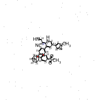 Cn1cc(C2=CN/C(=C(/C#N)C=N)C(c3ccc(N4CC5CC(C4)N5Cc4ccc(S(C)(=O)=O)cc4)nc3)=C2)cn1